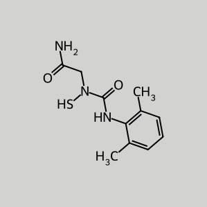 Cc1cccc(C)c1NC(=O)N(S)CC(N)=O